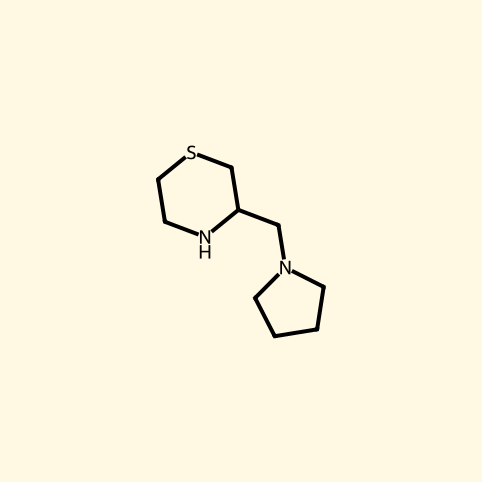 C1CCN(CC2CSCCN2)C1